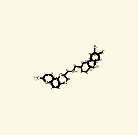 Cc1ccc2c3c(ccc2n1)OCC(CNCC1CCc2[nH]c4cc(Cl)c(F)cc4c2C1)O3